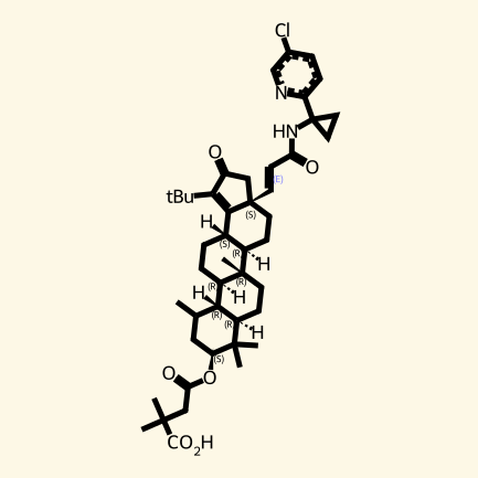 CC1C[C@H](OC(=O)CC(C)(C)C(=O)O)C(C)(C)[C@@H]2CC[C@]3(C)[C@H](CC[C@@H]4C5=C(C(C)(C)C)C(=O)C[C@]5(/C=C/C(=O)NC5(c6ccc(Cl)cn6)CC5)CC[C@H]43)[C@@H]12